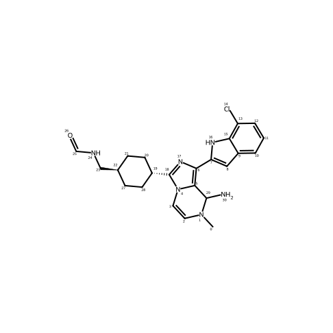 CN1C=Cn2c(c(-c3cc4cccc(Cl)c4[nH]3)nc2[C@H]2CC[C@H](CNC=O)CC2)C1N